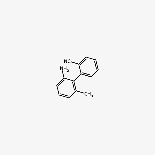 Cc1cccc(N)c1-c1ccccc1C#N